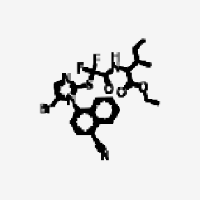 CCOC(=O)C(NC(=O)C(F)(F)Sc1ncc(Br)n1-c1ccc(C#N)c2ccccc12)C(C)CC